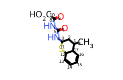 CC1CC(NC(=O)NC(=O)C(=O)O)SC2C=CC=CC12